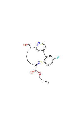 CCOC(=O)/C1=N\c2ccc(F)cc2-c2ccnc(c2)C(C=O)CCCC1